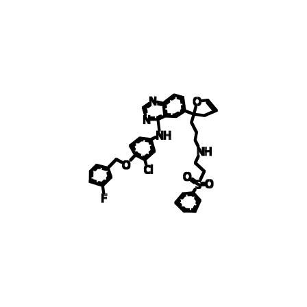 O=S(=O)(CCNCCCC1(c2ccc3ncnc(Nc4ccc(OCc5cccc(F)c5)c(Cl)c4)c3c2)CC=CO1)c1ccccc1